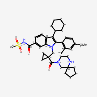 COc1ccc(-c2c(C3CCCCC3)c3ccc(C(=O)NS(=O)(=O)C(C)C)cc3n2CC2(C(=O)N3CCNC4(CCCC4)C3)CC2)c(C)c1